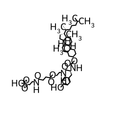 CC(C)CCC[C@@H](C)[C@H]1CC[C@H]2[C@@H]3CC=C4C[C@@H](OC(=O)N[C@@H](Cc5ccc(O)cc5)C(=O)NCCOC(=O)CCC(=O)NCCS(=O)(=O)O)CC[C@]4(C)[C@H]3CC[C@]12C